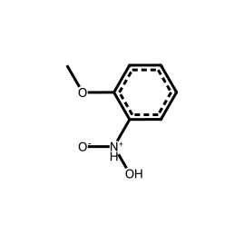 COc1ccccc1[NH+]([O-])O